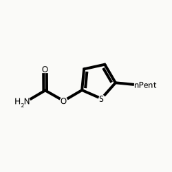 CCCCCc1ccc(OC(N)=O)s1